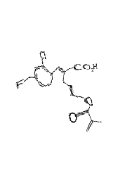 C=C(C)C(=O)OCCCC(=Cc1ccc(F)cc1Cl)C(=O)O